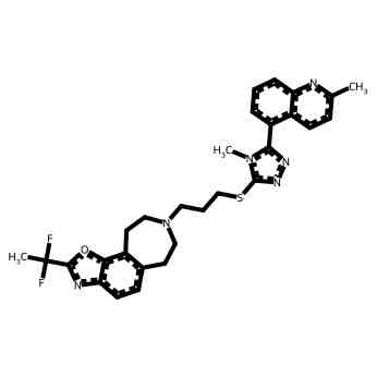 Cc1ccc2c(-c3nnc(SCCCN4CCc5ccc6nc(C(C)(F)F)oc6c5CC4)n3C)cccc2n1